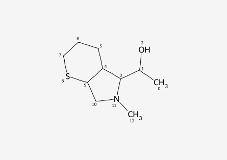 CC(O)C1C2CCCSC2CN1C